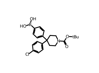 CC(C)(C)OC(=O)N1CCC(c2ccc(Cl)cc2)(c2ccc(B(O)O)cc2)CC1